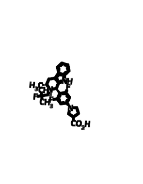 C[C@@H]1Cc2c([nH]c3ccccc23)[C@@H](c2c(F)cc(N3CCC(C(=O)O)C3)cc2F)N1CC(C)(C)F